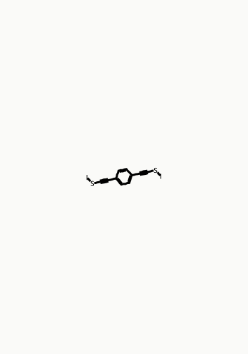 ISC#Cc1ccc(C#CSI)cc1